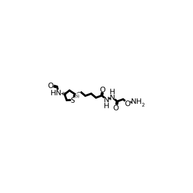 NOCC(=O)NNC(=O)CCCC[C@H]1C[C@@H](NC=O)CS1